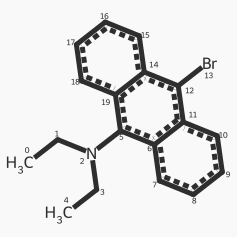 CCN(CC)c1c2ccccc2c(Br)c2ccccc12